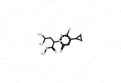 COC(=O)C(CC(C)C)n1nc(Cl)c(C2CC2)cc1=O